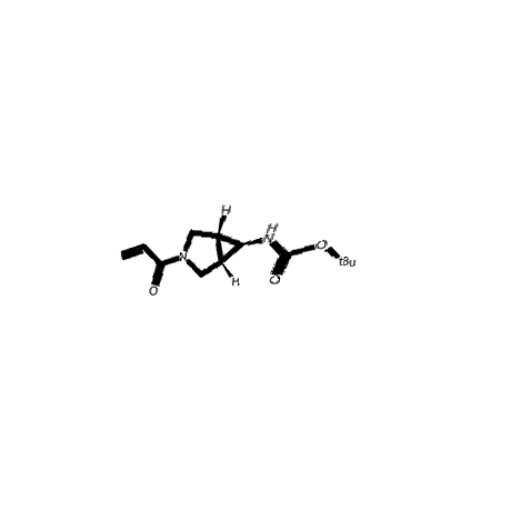 C=CC(=O)N1C[C@@H]2[C@H](C1)[C@H]2NC(=O)OC(C)(C)C